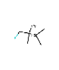 CCCC(C)(CF)[SiH](C)C